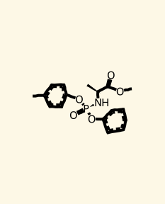 COC(=O)[C@H](C)N[P@@](=O)(Oc1ccccc1)Oc1ccc(C)cc1